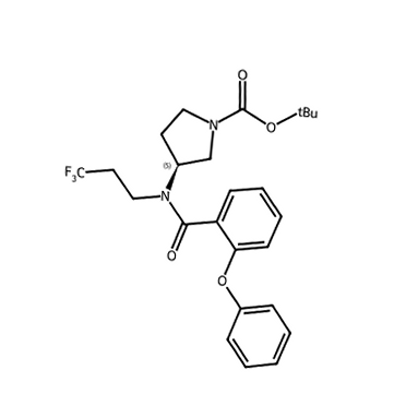 CC(C)(C)OC(=O)N1CC[C@H](N(CCC(F)(F)F)C(=O)c2ccccc2Oc2ccccc2)C1